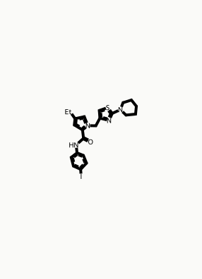 CCc1cc(C(=O)Nc2ccc(I)cc2)n(Cc2csc(N3CCCCC3)n2)c1